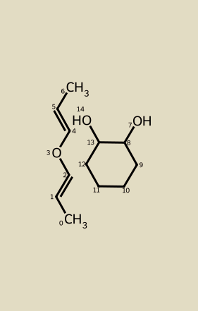 CC=COC=CC.OC1CCCCC1O